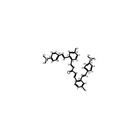 Cc1ccc(/C=C/C(=O)/C=C/c2ccc(C)cc2/C=C/c2ccc(N(C)C)cc2)c(/C=C/c2ccc(N(C)C)cc2)c1